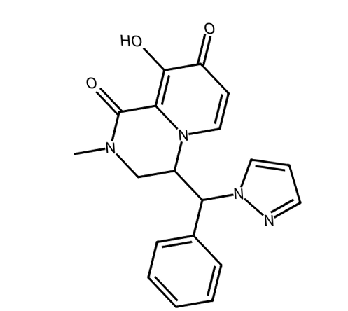 CN1CC(C(c2ccccc2)n2cccn2)n2ccc(=O)c(O)c2C1=O